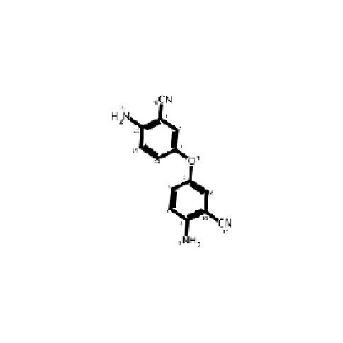 N#Cc1cc(Oc2ccc(N)c(C#N)c2)ccc1N